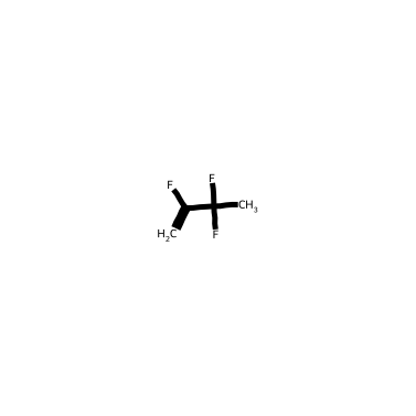 C=C(F)C(C)(F)F